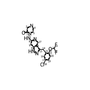 O=c1cnccn1Nc1cc2[nH]nc(Cc3cc(Cl)ccc3OC(F)F)c2cn1